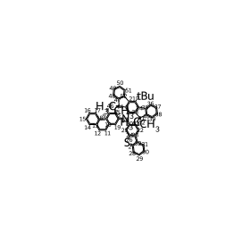 CC(C)(C)c1c2c(c(N(c3ccc4c(ccc5ccccc54)c3)c3ccc4c(c3)sc3ccccc34)c3c1-c1ccccc1C3(C)C)C(C)(C)c1ccccc1-2